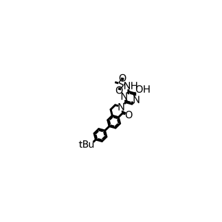 CC(C)(C)c1ccc(-c2ccc3c(c2)CCN(c2cnc(O)c(NS(C)(=O)=O)n2)C3=O)cc1